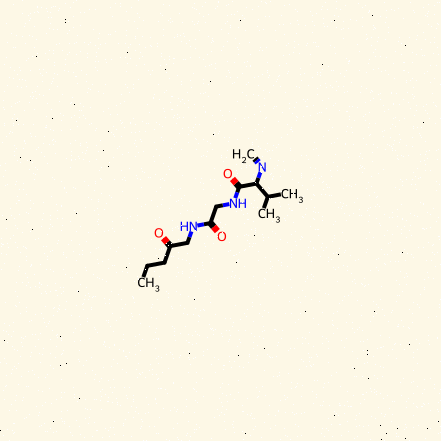 C=NC(C(=O)NCC(=O)NCC(=O)CCC)C(C)C